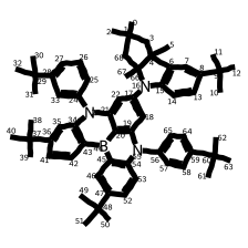 CC1(C)CC2(C)c3cc(C(C)(C)C)ccc3N(c3cc4c5c(c3)N(c3cccc(C(C)(C)C)c3)c3cc(C(C)(C)C)ccc3B5c3cc(C(C)(C)C)ccc3N4c3ccc(C(C)(C)C)cc3)C2(C)C1